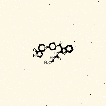 CCNC(=O)Nc1sc2ccccc2c1C(=O)N1CCC(N2CCCC3(CCNC3=O)C2)CC1